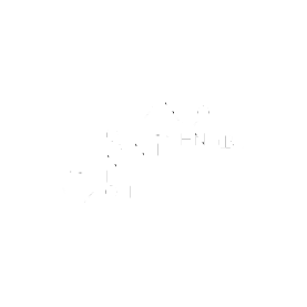 CC(C)(C)NC(=O)c1cc(NC(=O)NCc2ccccc2O)ccn1